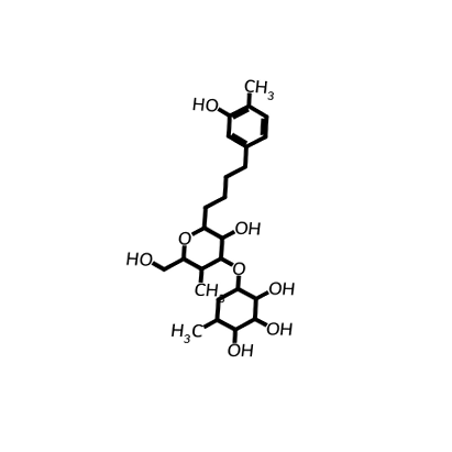 Cc1ccc(CCCCC2OC(CO)C(C)C(OC3CC(C)C(O)C(O)C3O)C2O)cc1O